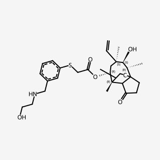 C=C[C@]1(C)C[C@@H](OC(=O)CSc2cccc(CNCCO)c2)[C@]2(C)C(C)CCC3(CCC(=O)C32)[C@@H](C)[C@@H]1O